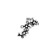 CSc1cc(C)[nH]c(=O)c1CNC(=O)c1cc(Cl)c2c(c1C)OC(C)(C1CCN(C(=O)C3CC3)CC1)O2